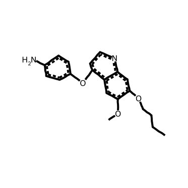 CCCCOc1cc2nccc(Oc3ccc(N)cc3)c2cc1OC